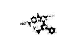 CCCCOC(=O)N1CCN(C(=O)[C@H](CCC(=O)O)NC(=O)c2cc([C@H]3C[C@@H]3CO)nc(-c3ccccc3)n2)CC1